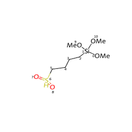 CO[Si](CCCC[SH](=O)=O)(OC)OC